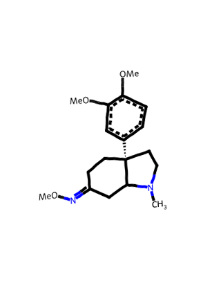 CO/N=C1\CC[C@@]2(c3ccc(OC)c(OC)c3)CCN(C)C2C1